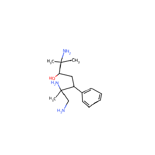 CC(C)(N)C(O)CC(c1ccccc1)C(C)(N)CN